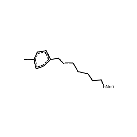 CCCCCCCCCCCCCCCCc1ccc(C)cc1